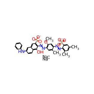 COc1cc(N=Nc2c(C)cc(C)cc2S(=O)(=O)[O-])c(C)cc1N=Nc1c(S(=O)(=O)[O-])cc2cc(Nc3ccccc3)ccc2c1O.[Na+].[Na+]